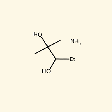 CCC(O)C(C)(C)O.N